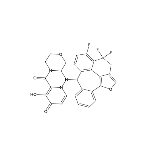 O=C1c2c(O)c(=O)ccn2N(C2c3ccccc3-c3occ4c3-c3c2ccc(F)c3C(F)(F)C4)C2COCCN12